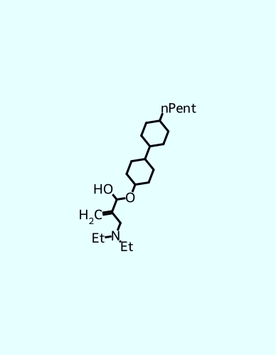 C=C(CN(CC)CC)C(O)OC1CCC(C2CCC(CCCCC)CC2)CC1